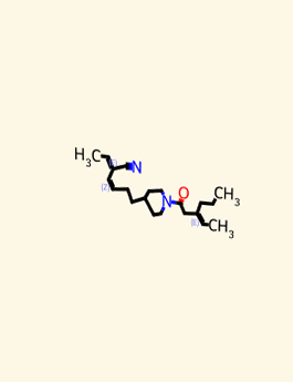 C/C=C(C#N)\C=C/CCC1CCN(C(=O)C/C(=C/C)CCC)CC1